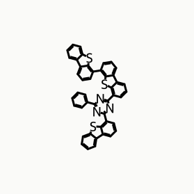 c1ccc(-c2nc(-c3cccc4c3sc3ccccc34)nc(-c3cccc4c3sc3c(-c5cccc6c5sc5ccccc56)cccc34)n2)cc1